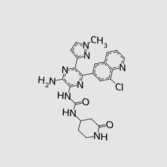 Cn1ccc(-c2nc(N)c(NC(=O)NC3CCNC(=O)C3)nc2-c2cc(Cl)c3ncccc3c2)n1